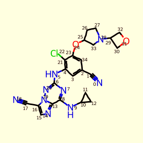 N#Cc1cc(Nc2nc(NC3CC3)c3ncc(C#N)n3n2)c(Cl)c(OC2CCN(C3COC3)C2)c1